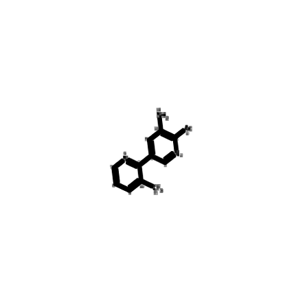 CC(=O)c1ncc(-c2ncccc2C(F)(F)F)cc1N